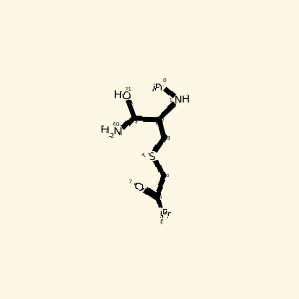 CC(C)NC(CSCC(=O)C(C)C)C(N)O